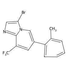 Cc1ccccc1-c1cc(C(F)(F)F)c2ncc(Br)n2c1